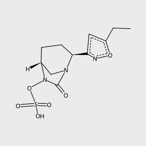 CCc1cc([C@@H]2CC[C@@H]3CN2C(=O)N3OS(=O)(=O)O)no1